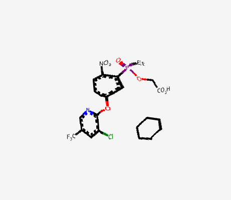 C1CCCCC1.CCP(=O)(OCC(=O)O)c1cc(Oc2ncc(C(F)(F)F)cc2Cl)ccc1[N+](=O)[O-]